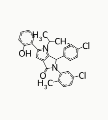 Cc1ccc(Cl)cc1N1C(=O)c2cc(-c3ccccc3O)n(C(C)C)c2C1c1ccc(Cl)cc1